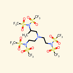 CC(CN(CCN(S(=O)(=O)C(F)(F)F)S(=O)(=O)C(F)(F)F)CCN(S(=O)(=O)C(F)(F)F)S(=O)(=O)C(F)(F)F)N(S(=O)(=O)C(F)(F)F)S(=O)(=O)C(F)(F)F